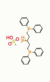 CS(=O)(=O)O.PC(CCP(c1ccccc1)c1ccccc1)CCP(c1ccccc1)c1ccccc1